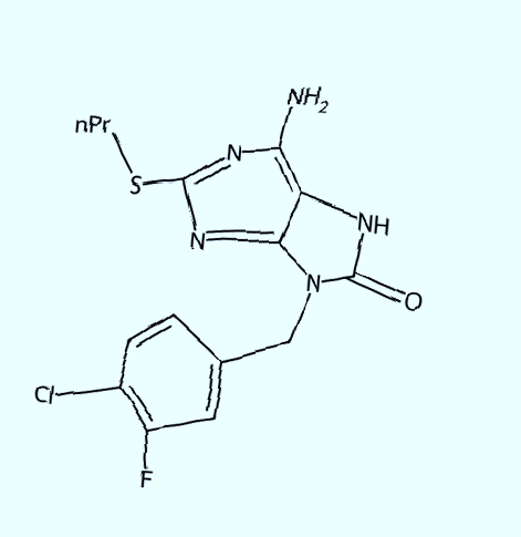 CCCSc1nc(N)c2[nH]c(=O)n(Cc3ccc(Cl)c(F)c3)c2n1